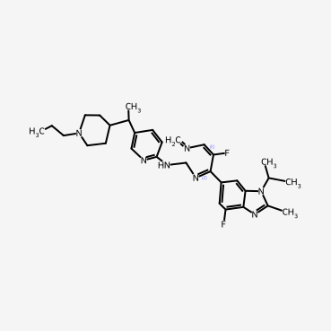 C=N/C=C(F)\C(=N/CNc1ccc(C(C)C2CCN(CCC)CC2)cn1)c1cc(F)c2nc(C)n(C(C)C)c2c1